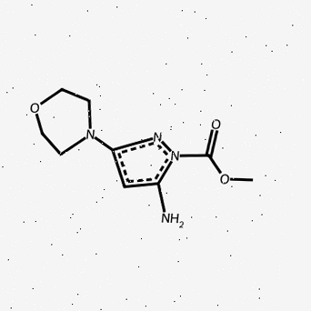 COC(=O)n1nc(N2CCOCC2)cc1N